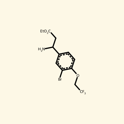 CCOC(=O)CC(N)c1ccc(OCC(F)(F)F)c(Br)c1